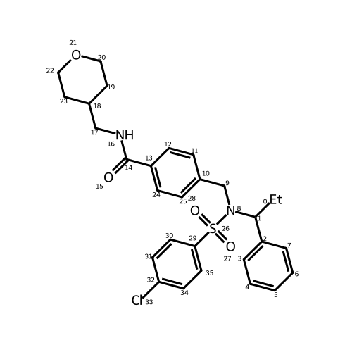 CCC(c1ccccc1)N(Cc1ccc(C(=O)NCC2CCOCC2)cc1)S(=O)(=O)c1ccc(Cl)cc1